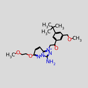 COCCOc1ccc2n(n1)c(N)n[n+]2CC(=O)c1cc(COC)cc(C(C)(C)C)c1